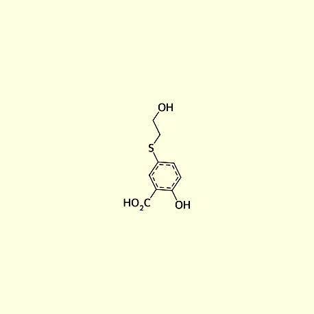 O=C(O)c1cc(SCCO)ccc1O